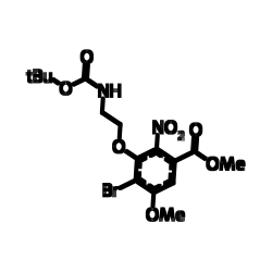 COC(=O)c1cc(OC)c(Br)c(OCCNC(=O)OC(C)(C)C)c1[N+](=O)[O-]